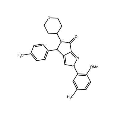 COc1ccc(C)cc1-n1cc2c(n1)C(=O)N(C1CCOCC1)C2c1ccc(C(F)(F)F)cc1